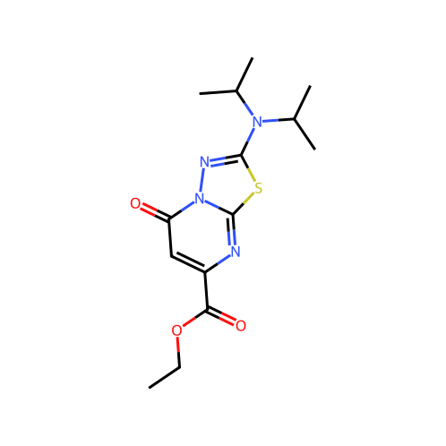 CCOC(=O)c1cc(=O)n2nc(N(C(C)C)C(C)C)sc2n1